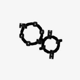 CN1CCCNCCN(C)CC(C2COCCOCCNCCOCCOCCN2)CNCC1